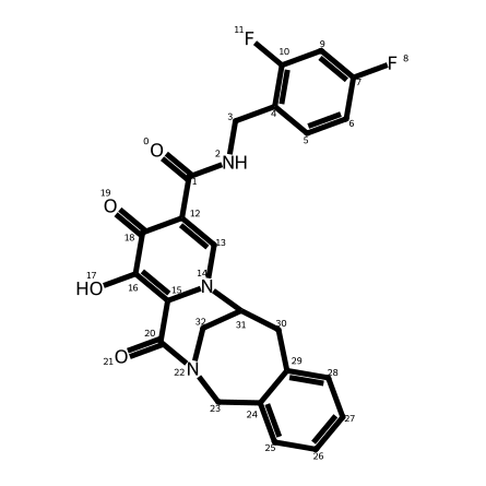 O=C(NCc1ccc(F)cc1F)c1cn2c(c(O)c1=O)C(=O)N1Cc3ccccc3CC2C1